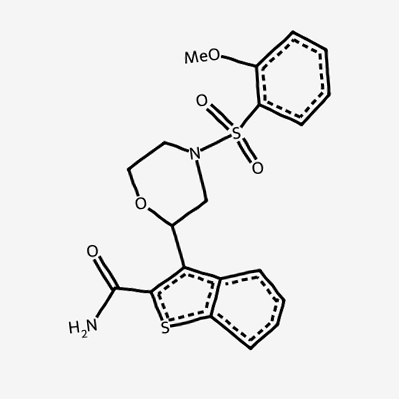 COc1ccccc1S(=O)(=O)N1CCOC(c2c(C(N)=O)sc3ccccc23)C1